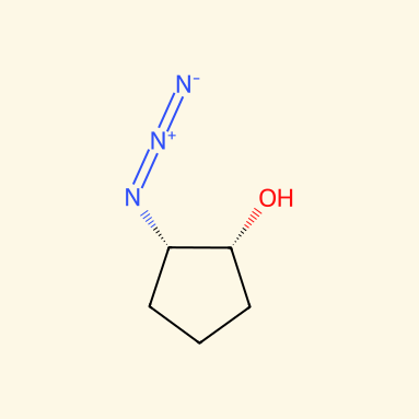 [N-]=[N+]=N[C@H]1CCC[C@H]1O